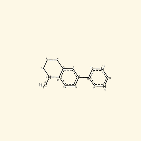 CN1CCCc2cc(-c3cncnc3)ccc21